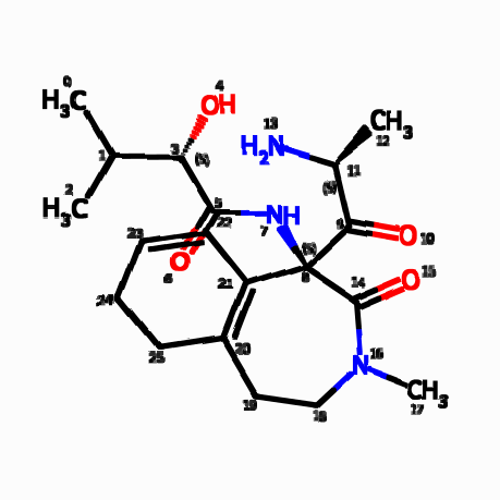 CC(C)[C@H](O)C(=O)N[C@@]1(C(=O)[C@H](C)N)C(=O)N(C)CCC2=C1C=CCC2